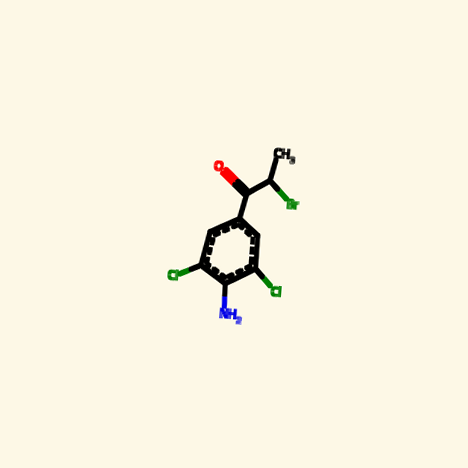 CC(Br)C(=O)c1cc(Cl)c(N)c(Cl)c1